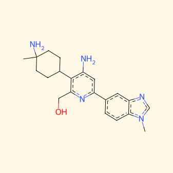 Cn1cnc2cc(-c3cc(N)c(C4CCC(C)(N)CC4)c(CO)n3)ccc21